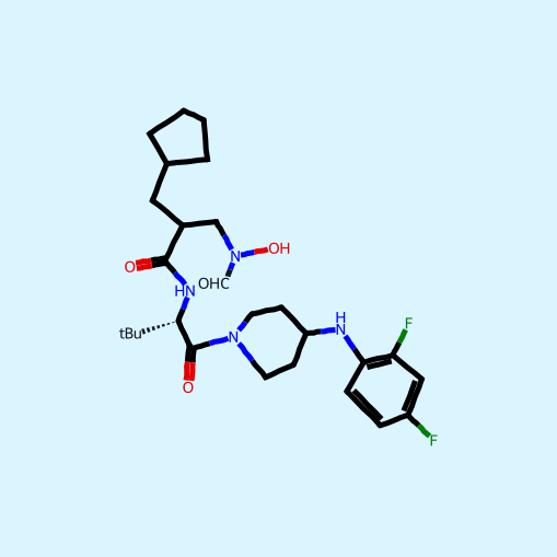 CC(C)(C)[C@H](NC(=O)C(CC1CCCC1)CN(O)C=O)C(=O)N1CCC(Nc2ccc(F)cc2F)CC1